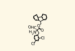 NC(C=O)(Cc1ccc(Cl)cc1Cl)C(=O)OCC1c2ccccc2-c2ccccc21